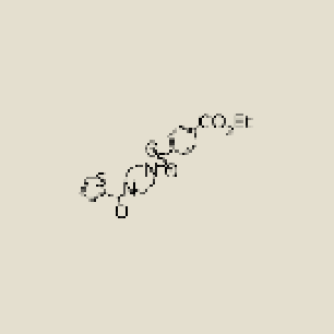 CCOC(=O)c1ccc(S(=O)(=O)N2CCN(C(=O)c3cccs3)CC2)cc1